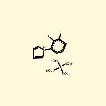 CCCCCCC[CH2][Al-]([CH2]CCCCCCC)([CH2]CCCCCCC)[CH2]CCCCCCC.Fc1cccc([NH+]2C=CC=C2)c1F